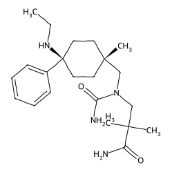 CCN[C@]1(c2ccccc2)CC[C@@](C)(CN(CC(C)(C)C(N)=O)C(N)=O)CC1